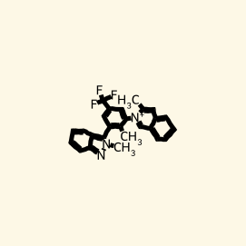 Cc1c(-c2c3ccccc3nn2C)cc(C(F)(F)F)cc1-[n+]1cc2ccccc2cc1C